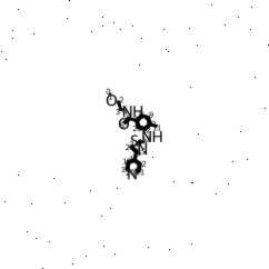 COCCNC(=O)c1ccc(C)c(Nc2nc(-c3ccncc3)cs2)c1